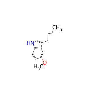 CCCCc1c[nH]c2ccc(OC)cc12